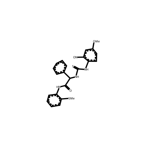 COc1ccc(NC(=S)NC(C(=O)Nc2ccccc2SC)c2ccccc2)c(N=O)c1